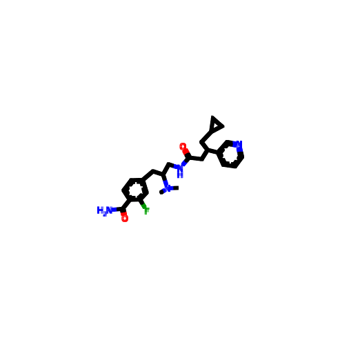 CN(C)C(CNC(=O)CC(CC1CC1)c1cccnc1)Cc1ccc(C(N)=O)c(F)c1